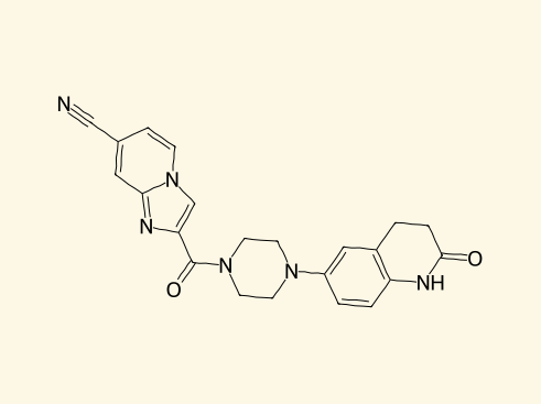 N#Cc1ccn2cc(C(=O)N3CCN(c4ccc5c(c4)CCC(=O)N5)CC3)nc2c1